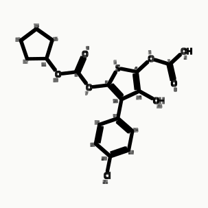 O=C(O)Oc1sc(OC(=O)OC2CCCC2)c(-c2ccc(Cl)cc2)c1O